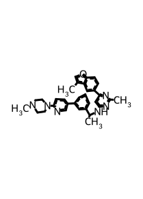 Cc1nc(NC(C)c2cccc(-c3ccc(N4CCN(C)CC4)nc3)c2)cc(-c2ccc3occ(C)c3c2)n1